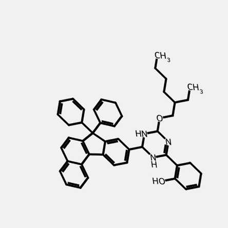 CCCCC(CC)COC1N=C(C2=C(O)C=CCC2)NC(c2ccc3c(c2)C(C2=CCCC=C2)(C2C=CC=CC2)c2ccc4ccccc4c2-3)N1